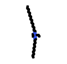 CCCCCCCCCCCCCCCN1C=CN(CCCCCCCCCCC)C1CC